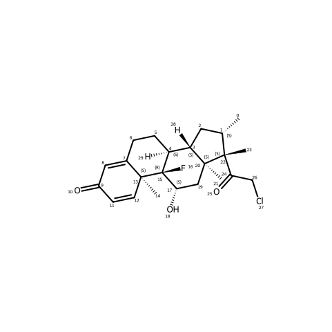 C[C@H]1C[C@H]2[C@@H]3CCC4=CC(=O)C=C[C@]4(C)[C@@]3(F)[C@@H](O)C[C@]2(C)[C@@]1(C)C(=O)CCl